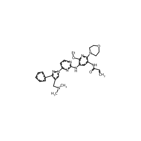 C=CC(=O)Nc1cc(Nc2nccc(-n3cc(CN(C)C)c(-c4ccccc4)n3)n2)c(OCC)nc1N1CCOCC1